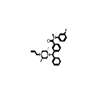 C=CCN1C[C@H](C)N([C@H](C2=CC=CC[CH]2)c2cccc(C(=O)N(C)c3cccc(F)c3)c2)C[C@H]1C